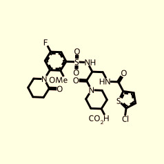 COc1c(N2CCCCC2=O)cc(F)cc1S(=O)(=O)NC(CNC(=O)c1ccc(Cl)s1)C(=O)N1CCC(C(=O)O)CC1